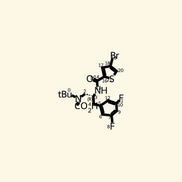 CC(C)(C)N(C[C@@H](Cc1cc(F)cc(F)c1)NC(=O)c1cc(Br)cs1)C(=O)O